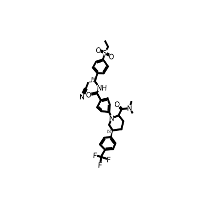 CCS(=O)(=O)c1ccc([C@@H](CC#N)NC(=O)c2ccc(N3C[C@H](c4ccc(C(F)(F)F)cc4)CCC3C(=O)N(C)C)cc2)cc1